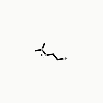 CCCCC[SiH2]N(C)C